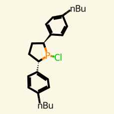 CCCCc1ccc([C@@H]2CC[C@@H](c3ccc(CCCC)cc3)P2Cl)cc1